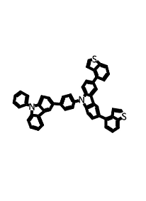 c1ccc(-n2c3ccccc3c3cc(-c4ccc(-n5c6ccc(-c7cccc8sccc78)cc6c6cc(-c7cccc8sccc78)ccc65)cc4)ccc32)cc1